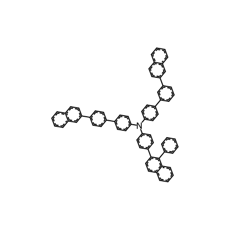 c1ccc(-c2c(-c3ccc(N(c4ccc(-c5ccc(-c6ccc7ccccc7c6)cc5)cc4)c4ccc(-c5cccc(-c6ccc7ccccc7c6)c5)cc4)cc3)ccc3ccccc23)cc1